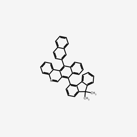 CC1(C)c2ccccc2-c2c(-c3c4ccccc4c(-c4ccc5ccccc5c4)c4c3cnc3ccccc34)cccc21